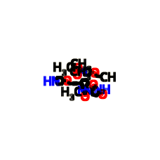 C#CCOC1CCN(C(=O)OC(C)(C)C)CC1.Cn1c(=O)n(C2CCC(=O)NC2=O)c2cccc(C#CCOC3CCNCC3)c21